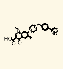 CCN1C=C(C(=O)O)C(=O)C2C=C(F)C(N3CCN(Cc4ccc(-c5csnn5)cc4)CC3)=CC21